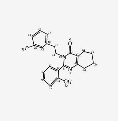 O=c1c2c(nc(-c3ccccc3O)n1CCc1cccc(F)c1)CCCC2